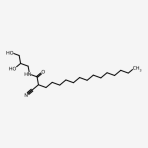 CCCCCCCCCCCCCCC(C#N)C(=O)NCC(O)CO